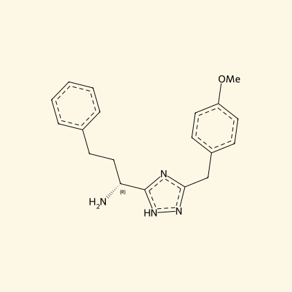 COc1ccc(Cc2n[nH]c([C@H](N)CCc3ccccc3)n2)cc1